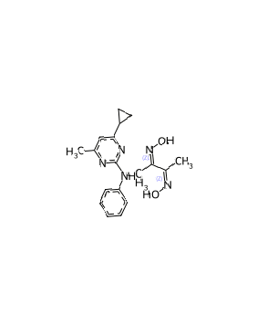 CC(=N/O)/C(C)=N\O.Cc1cc(C2CC2)nc(Nc2ccccc2)n1